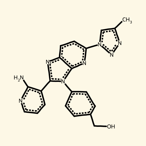 Cc1cn(-c2ccc3nc(-c4cccnc4N)n(-c4ccc(CO)cc4)c3n2)nn1